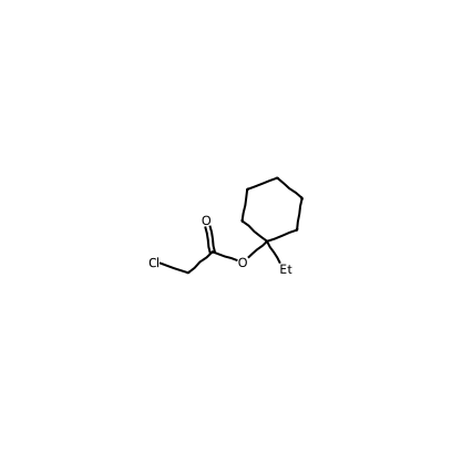 CCC1(OC(=O)CCl)CCCCC1